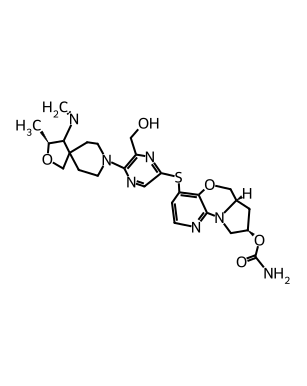 C=NC1[C@H](C)OCC12CCN(c1ncc(Sc3ccnc4c3OC[C@@H]3C[C@@H](OC(N)=O)CN43)nc1CO)CC2